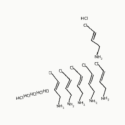 Cl.Cl.Cl.Cl.Cl.Cl.NCC=CCl.NCC=CCl.NCC=CCl.NCC=CCl.NCC=CCl.NCC=CCl